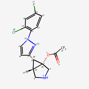 O=C(O[C@]12CNC[C@@H]1[C@@H]2c1ccn(-c2ccc(F)cc2Cl)n1)C(F)(F)F